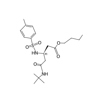 CCCCOC(=O)C[C@@H](CC(=O)NC(C)(C)C)NS(=O)(=O)c1ccc(C)cc1